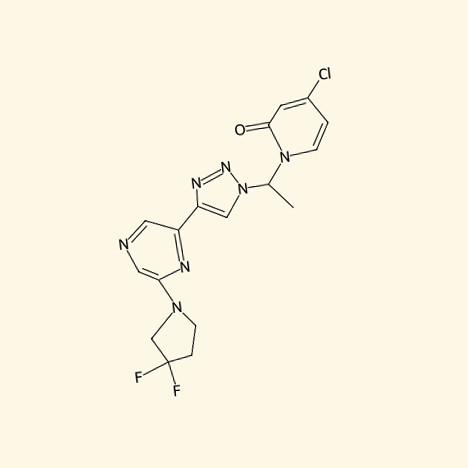 CC(n1cc(-c2cncc(N3CCC(F)(F)C3)n2)nn1)n1ccc(Cl)cc1=O